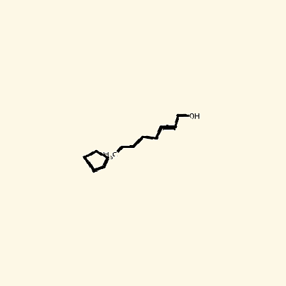 C1CCCC1.CCCCCC=CCO